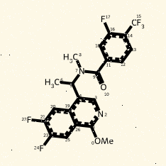 COc1ncc(C(C)N(C)C(=O)c2ccc(C(F)(F)F)c(F)c2)c2cc(F)c(F)cc12